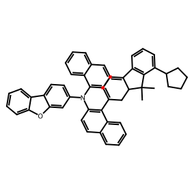 CC1(C)c2c(cccc2C2CCCC2)C2=CC=C(c3c(N(c4ccc5c(c4)oc4ccccc45)c4cccc5ccccc45)ccc4ccccc34)CC21